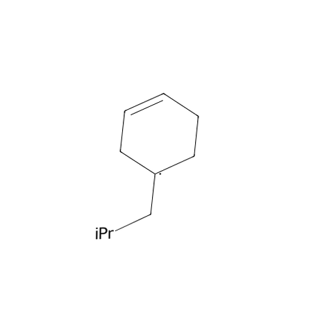 CC(C)C[C]1CC=CCC1